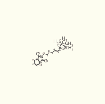 CC1(C)OB(C=CCCCCN2C(=O)c3ccccc3C2=O)OC1(C)C